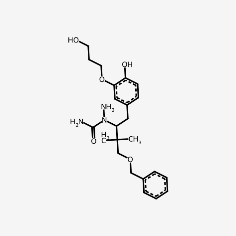 CC(C)(COCc1ccccc1)C(Cc1ccc(O)c(OCCCO)c1)N(N)C(N)=O